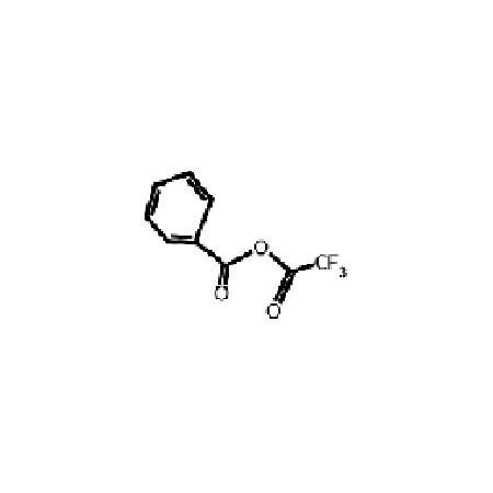 O=C(OC(=O)C(F)(F)F)c1ccccc1